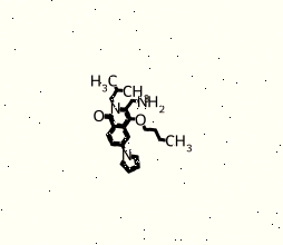 CCCCOc1c(CN)n(CC(C)C)c(=O)c2ccc(-n3cccc3)cc12